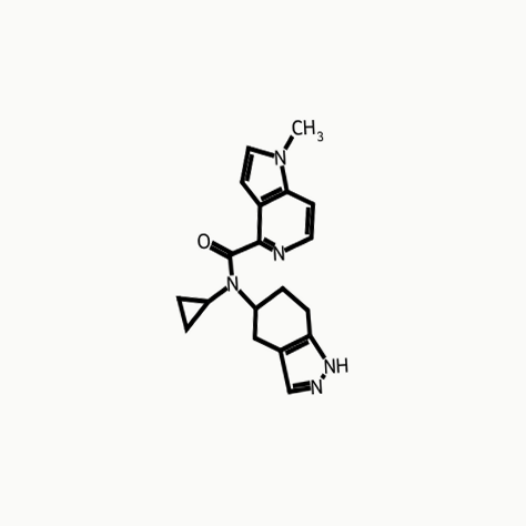 Cn1ccc2c(C(=O)N(C3CC3)C3CCc4[nH]ncc4C3)nccc21